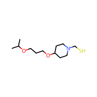 CC(C)OCCCOC1CCN(CS)CC1